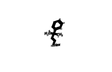 CCCCCCCCC(C)(C)c1[c]cccc1